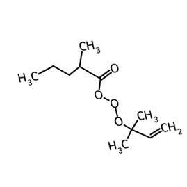 C=CC(C)(C)OOOC(=O)C(C)CCC